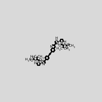 COC(=O)N[C@H](C(=O)N1CCC[C@H]1c1nc(-c2cnc3cc(C#Cc4ccc(-c5cnc([C@@H]6CCCN6C(=O)[C@@H](NC(=O)OC)C(C)C)[nH]5)cc4)ccc3c2)c[nH]1)C(C)C